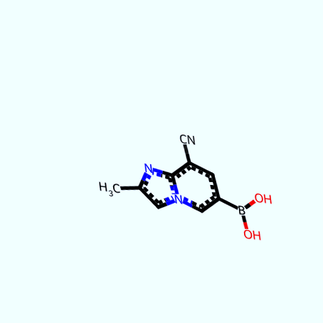 Cc1cn2cc(B(O)O)cc(C#N)c2n1